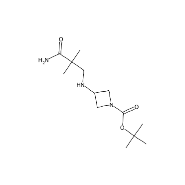 CC(C)(C)OC(=O)N1CC(NCC(C)(C)C(N)=O)C1